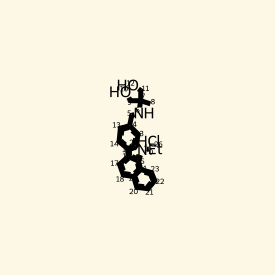 CCn1c2cc(CNC(C)(CO)CO)ccc2c2ccc3ccccc3c21.Cl